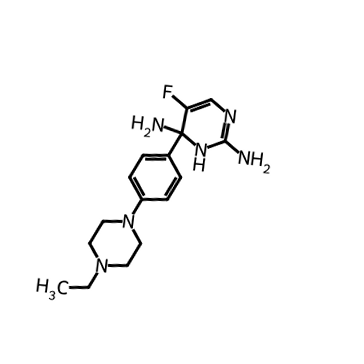 CCN1CCN(c2ccc(C3(N)NC(N)=NC=C3F)cc2)CC1